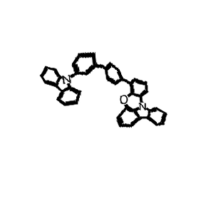 c1cc(-c2ccc(-c3cccc4c3Oc3cccc5c6ccccc6n-4c35)cc2)cc(-n2c3ccccc3c3ccccc32)c1